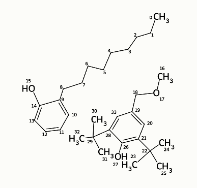 CCCCCCCCCc1ccccc1O.COCc1cc(C(C)(C)C)c(O)c(C(C)(C)C)c1